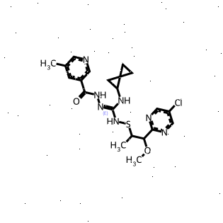 COC(c1ncc(Cl)cn1)C(C)SN/C(=N/NC(=O)c1cncc(C)c1)NC1CC12CC2